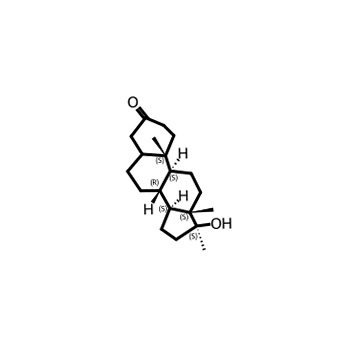 C[C@]12CCC(=O)CC1CC[C@@H]1[C@@H]2CC[C@@]2(C)[C@H]1CC[C@]2(C)O